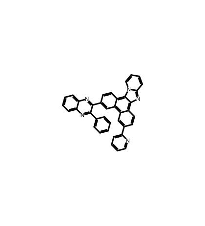 c1ccc(-c2nc3ccccc3nc2-c2ccc3c(c2)c2cc(-c4ccccn4)ccc2c2nc4ccccn4c32)cc1